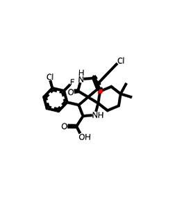 CC1(C)CCC2(CC1)NC(C(=O)O)C(c1cccc(Cl)c1F)C21C(=O)Nc2cc(Cl)ccc21